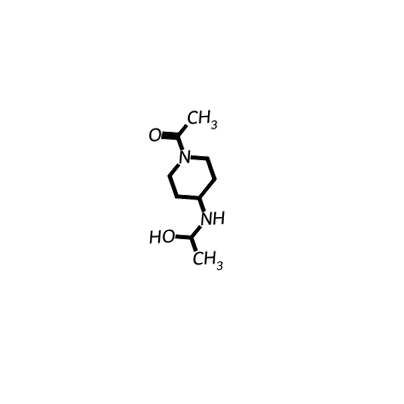 CC(=O)N1CCC(NC(C)O)CC1